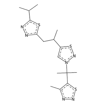 Cc1nnsc1C(C)(C)[n+]1cc(C(C)Cc2nnc(C(C)C)s2)sn1